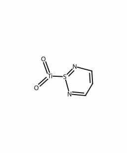 [O]=[Ti](=[O])[S]1=NC=CC=N1